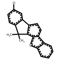 CC1(C)c2ccc(Cl)cc2-c2ccc3c(sc4ccccc43)c21